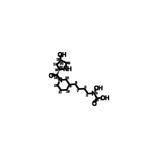 O=C(O)N(O)CCCCC1CCCN(C(=O)[C@@H]2C[C@@H](O)CN2)C1